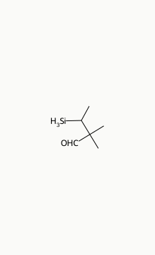 CC([SiH3])C(C)(C)C=O